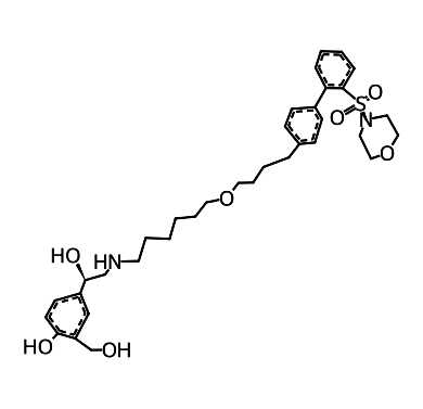 O=S(=O)(c1ccccc1-c1ccc(CCCCOCCCCCCNC[C@H](O)c2ccc(O)c(CO)c2)cc1)N1CCOCC1